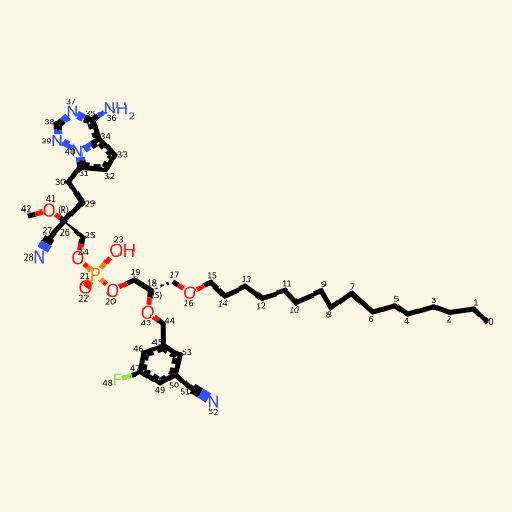 CCCCCCCCCCCCCCCCOC[C@@H](COP(=O)(O)OC[C@](C#N)(CCc1ccc2c(N)ncnn12)OC)OCc1cc(F)cc(C#N)c1